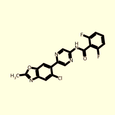 Cc1nc2cc(Cl)c(-c3cnc(NC(=O)c4c(F)cccc4F)cn3)cc2o1